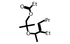 CCC(=O)OCC(C)(C)OC(C)C(=CC(C)C)CC